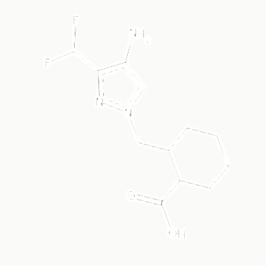 Nc1cn(CC2CCCCC2C(=O)O)nc1C(F)F